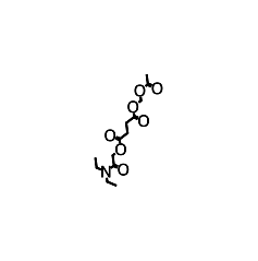 CCN(CC)C(=O)COC(=O)CCC(=O)OCOC(C)=O